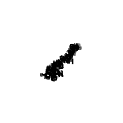 C[C@@H]1CCN(C(=O)CC#N)CC1/C=[N+](/C)c1ncnc2c1ccn2C(=O)NCC(=O)Nc1ccc(N2CCN(C(=O)OC(C)(C)C)CC2)cc1